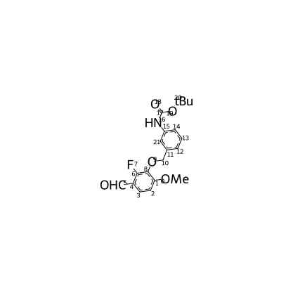 COc1ccc(C=O)c(F)c1OCc1cccc(NC(=O)OC(C)(C)C)c1